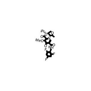 COc1c(C(=O)OC(C)C)n([C@@H]2CCOC2C)cc(C(=O)NCc2c(F)cc(F)cc2F)c1=O